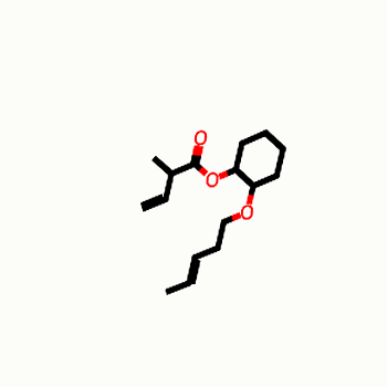 C=CC(C)C(=O)OC1CCCCC1OCCC=CC